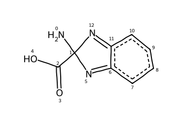 NC1(C(=O)O)N=c2ccccc2=N1